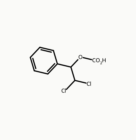 O=C(O)OC(c1ccccc1)C(Cl)Cl